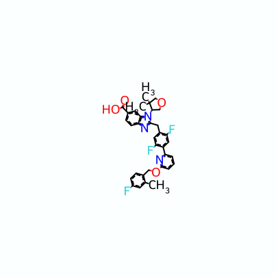 Cc1cc(F)ccc1COc1cccc(-c2cc(F)c(Cc3nc4ccc(C(=O)O)cc4n3C3COCC3(C)C)cc2F)n1